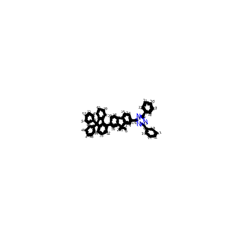 CC1(C)c2cc(-c3nc(-c4ccccc4)nc(-c4ccccc4)n3)ccc2-c2ccc(-c3cccc4c3-c3ccccc3C4(c3ccccc3)c3ccccc3)cc21